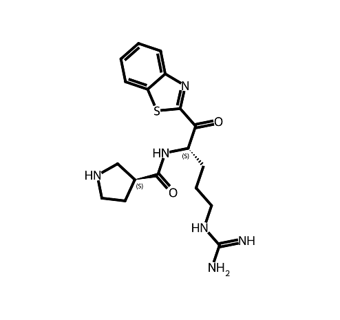 N=C(N)NCCC[C@H](NC(=O)[C@H]1CCNC1)C(=O)c1nc2ccccc2s1